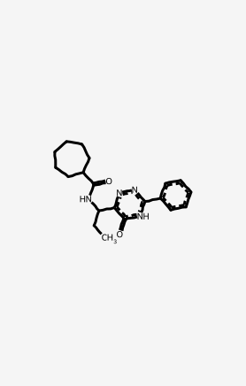 CCC(NC(=O)C1CCCCCC1)c1nnc(-c2ccccc2)[nH]c1=O